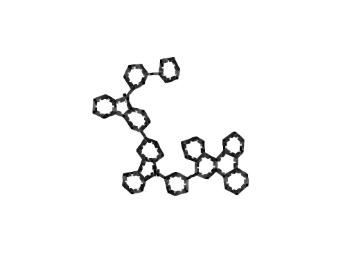 c1ccc(-c2cccc(-n3c4ccccc4c4cc(-c5ccc6c(c5)c5ccccc5n6-c5cccc(-c6cc7c8ccccc8c8ccccc8c7c7ccccc67)c5)ccc43)c2)cc1